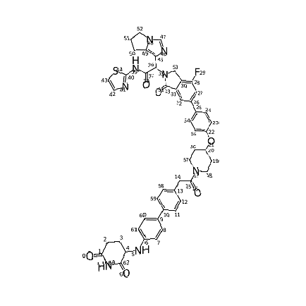 O=C1CCC(Nc2ccc(-c3ccc(CC(=O)N4CCC(Oc5ccc(-c6cc(F)c7c(c6)C(=O)N(C(C(=O)Nc6nccs6)c6ncn8c6CCC8)C7)cc5)CC4)cc3)cc2)C(=O)N1